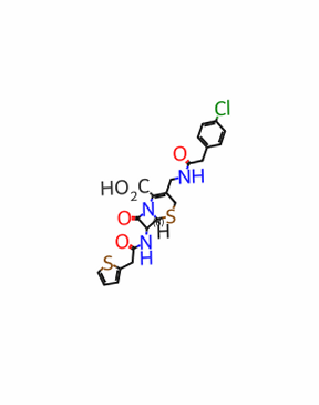 O=C(Cc1ccc(Cl)cc1)NCC1=C(C(=O)O)N2C(=O)C(NC(=O)Cc3cccs3)[C@H]2SC1